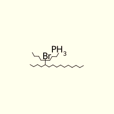 CCCCCCCCCCC(CCCC)C(Br)(CCCC)CCCC.P